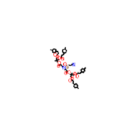 CC1CCC(CCC(=O)OCC(C)(COC(=O)CCC2CCC(C)CC2)COC(=O)CCN(CCC(=O)OCC(C)(COC(=O)CCC2CCC(C)CC2)COC(=O)CCC2CCC(C)CC2)C(=O)SCCCN(C)C)CC1